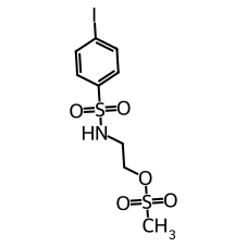 CS(=O)(=O)OCCNS(=O)(=O)c1ccc(I)cc1